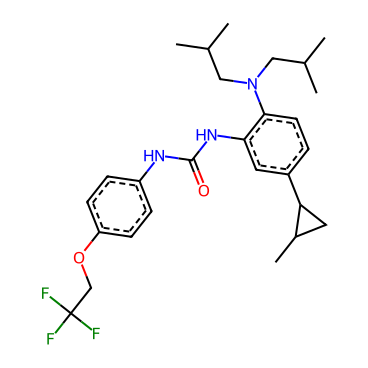 CC(C)CN(CC(C)C)c1ccc(C2CC2C)cc1NC(=O)Nc1ccc(OCC(F)(F)F)cc1